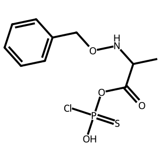 CC(NOCc1ccccc1)C(=O)OP(O)(=S)Cl